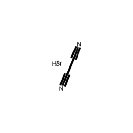 Br.N#CC#N